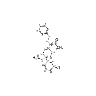 CC(=O)N(CCc1ccccn1)[C@H]1CC[C@](CN)(C2C=CC=C(Cl)C2)CC1